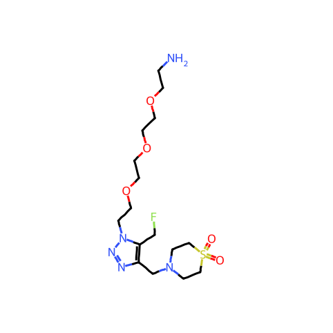 NCCOCCOCCOCCn1nnc(CN2CCS(=O)(=O)CC2)c1CF